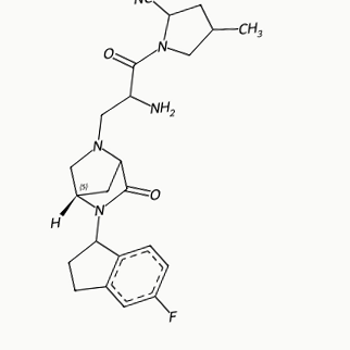 CC1CC(C#N)N(C(=O)C(N)CN2C[C@@H]3CC2C(=O)N3C2CCc3cc(F)ccc32)C1